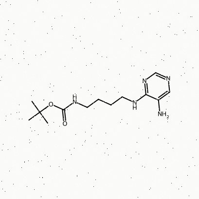 CC(C)(C)OC(=O)NCCCCNc1ncncc1N